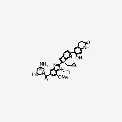 COc1cc(C(=O)N2C[C@H](N)C[C@@H](F)C2)cc2nc(-c3cc4ccc(-c5cc6c(cc5O)NC(=O)CC6)nc4n3CC3CC3)n(C)c12